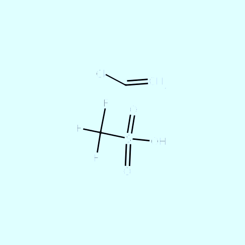 C=CCl.O=S(=O)(O)C(F)(F)F